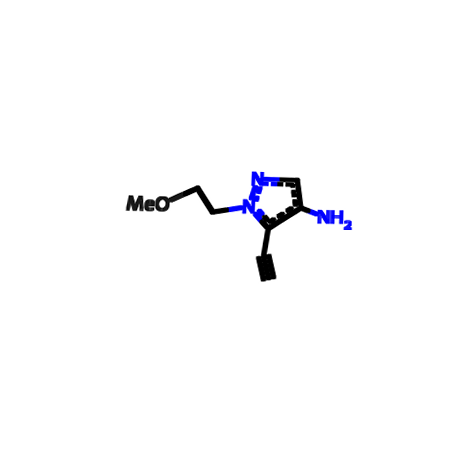 C#Cc1c(N)cnn1CCOC